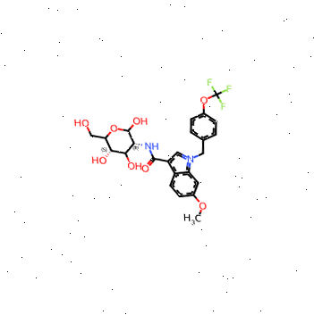 COc1ccc2c(C(=O)N[C@H]3C(O)OC(CO)[C@@H](O)C3O)cn(Cc3ccc(OC(F)(F)F)cc3)c2c1